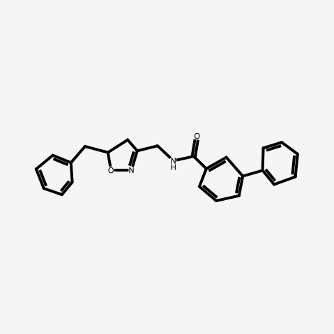 O=C(NCC1=NOC(Cc2ccccc2)C1)c1cccc(-c2ccccc2)c1